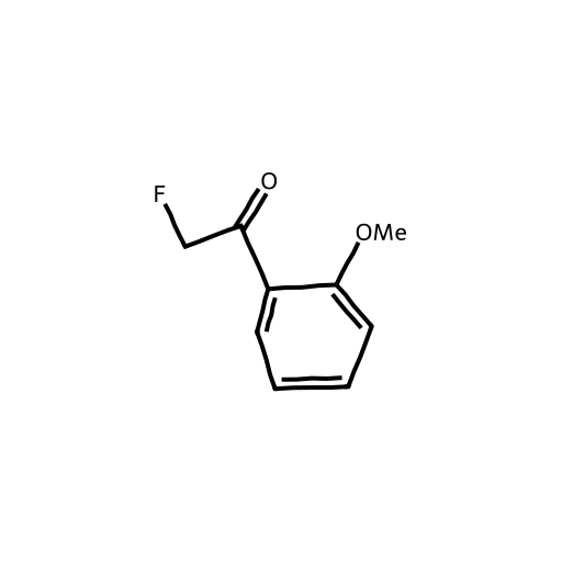 COc1ccccc1C(=O)CF